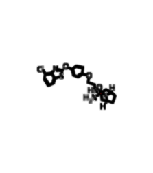 NC(=O)N1[C@@H]2CC[C@H]1C[C@@H](NCCOc1ccc(Oc3nc4c(Cl)cccc4s3)cc1)C2